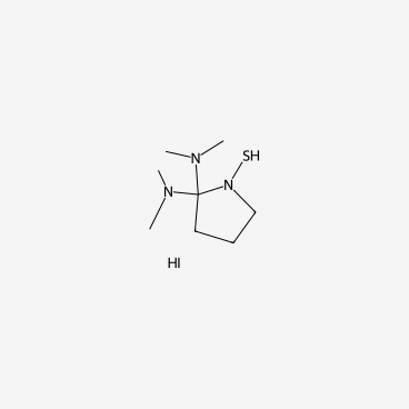 CN(C)C1(N(C)C)CCCN1S.I